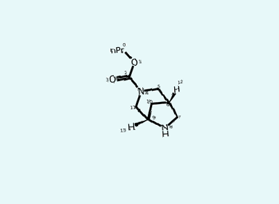 CCCOC(=O)N1C[C@@H]2CN[C@@H](C2)C1